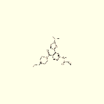 CCCN1CCN(C(=O)c2ccc(NC(=O)C3CC3)cc2-c2ccn(C(C)C)n2)CC1